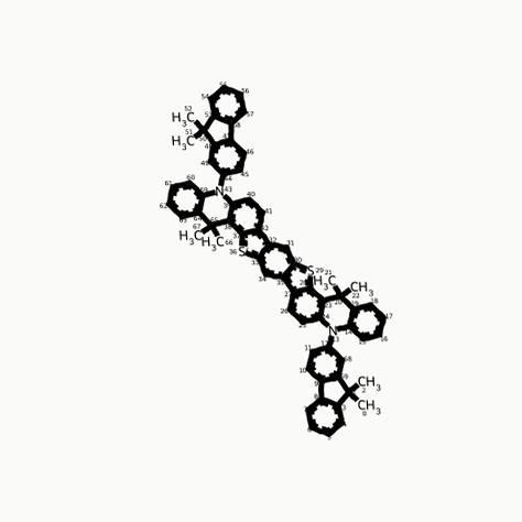 CC1(C)c2ccccc2-c2ccc(N3c4ccccc4C(C)(C)c4c3ccc3c4sc4cc5c(cc43)sc3c4c(ccc35)N(c3ccc5c(c3)C(C)(C)c3ccccc3-5)c3ccccc3C4(C)C)cc21